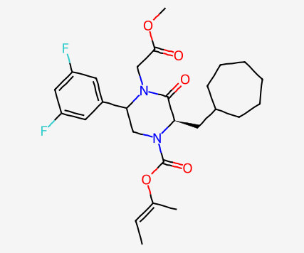 C/C=C(\C)OC(=O)N1CC(c2cc(F)cc(F)c2)N(CC(=O)OC)C(=O)[C@H]1CC1CCCCCC1